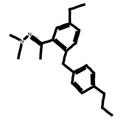 CCCc1ccc(Cc2ccc(CC)cc2/C(C)=N/N(C)C)cc1